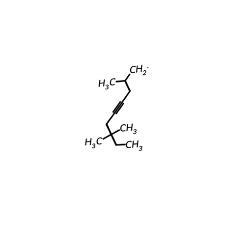 [CH2]C(C)CC#CCC(C)(C)CC